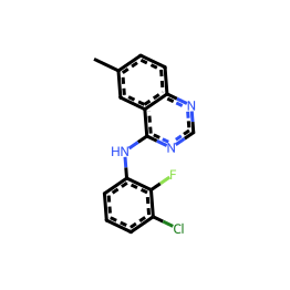 Cc1ccc2ncnc(Nc3cccc(Cl)c3F)c2c1